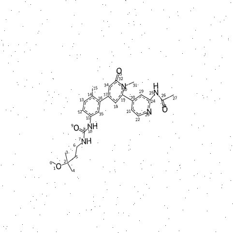 COC(C)(C)CCNC(=O)Nc1ccc(C)c(-c2cc(-c3ccnc(NC(C)=O)c3)n(C)c(=O)c2)c1